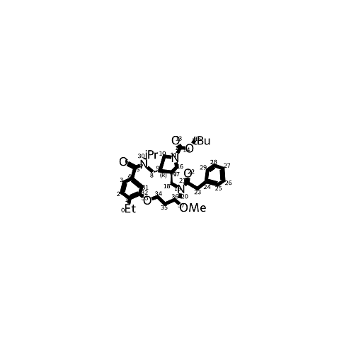 CCc1ccc(C(=O)N(C[C@@H]2CN(C(=O)OC(C)(C)C)C[C@H]2CN(C)C(=O)Cc2ccccc2)C(C)C)cc1OCCCOC